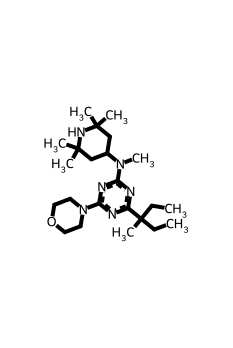 CCC(C)(CC)c1nc(N2CCOCC2)nc(N(C)C2CC(C)(C)NC(C)(C)C2)n1